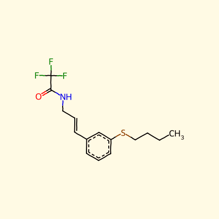 CCCCSc1cccc(C=CCNC(=O)C(F)(F)F)c1